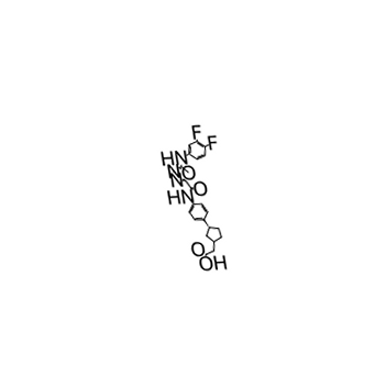 O=C(O)CC1CC[C@H](c2ccc(NC(=O)c3nnc(Nc4ccc(F)c(F)c4)o3)cc2)C1